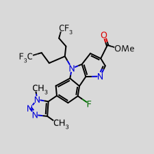 COC(=O)c1cnc2c3c(F)cc(-c4c(C)nnn4C)cc3n(C(CCC(F)(F)F)CCC(F)(F)F)c2c1